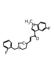 Cn1cc(C(=O)C=CC2CCN(Cc3ccccc3F)CC2)c2cc(F)ccc21